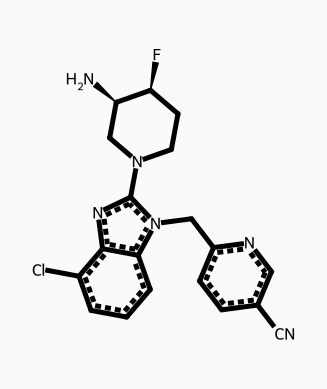 N#Cc1ccc(Cn2c(N3CC[C@H](F)[C@H](N)C3)nc3c(Cl)cccc32)nc1